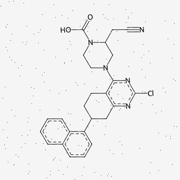 N#CCC1CN(c2nc(Cl)nc3c2CCC(c2cccc4ccccc24)C3)CCN1C(=O)O